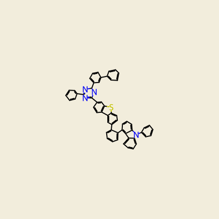 c1ccc(-c2cccc(-c3nc(-c4ccccc4)nc(-c4ccc5c(c4)sc4ccc(-c6ccccc6-c6cccc7c6c6ccccc6n7-c6ccccc6)cc45)n3)c2)cc1